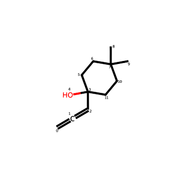 C=C=CC1(O)CCC(C)(C)CC1